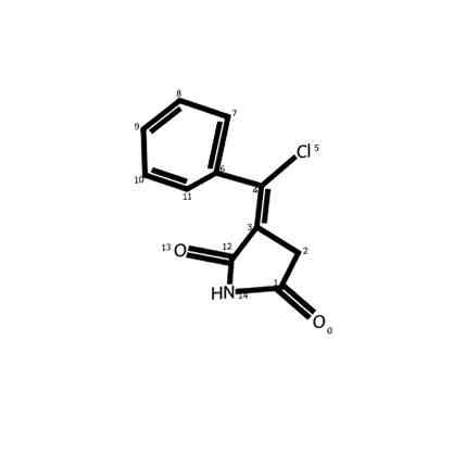 O=C1CC(=C(Cl)c2ccccc2)C(=O)N1